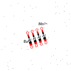 [Ba+2].[Mn+2].[O]=[Al][O-].[O]=[Al][O-].[O]=[Al][O-].[O]=[Al][O-]